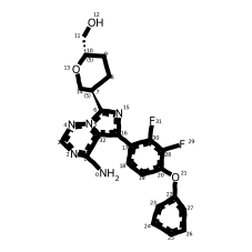 Nc1ncnn2c([C@@H]3CC[C@@H](CO)OC3)nc(-c3ccc(Oc4ccccc4)c(F)c3F)c12